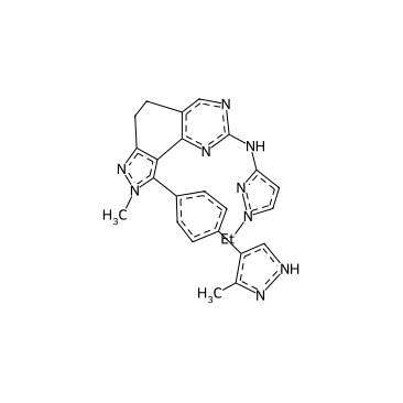 CCn1ccc(Nc2ncc3c(n2)-c2c(nn(C)c2-c2ccc(-c4c[nH]nc4C)cc2)CC3)n1